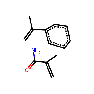 C=C(C)C(N)=O.C=C(C)c1ccccc1